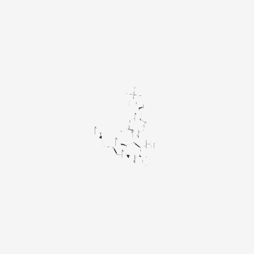 CC[C@@H]1CN(c2c(Br)c(=O)n(C)n3cc(CC#N)nc23)[C@@H](CC)CN1C(=O)OC(C)(C)C